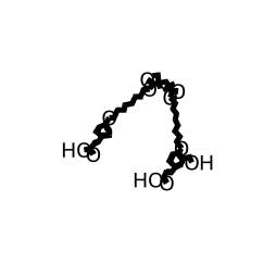 CCC(C)(CC(C)(C)C(=O)OCCCCCCCCOc1ccc(/C=C/C(=O)O)cc1CO)C(=O)OCCCCCCCCOc1ccc(/C=C/C(=O)O)cc1